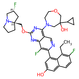 CCc1c(F)ccc2cc(O)cc(-c3ncc4c(N5CCOCC(O)(C6CC6)C5)nc(OC[C@@]56CCCN5C[C@H](F)C6)nc4c3F)c12